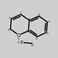 C1=Cc2ccccc2OC1.CF